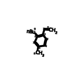 C=Cc1ccc(C)cc1CCCC